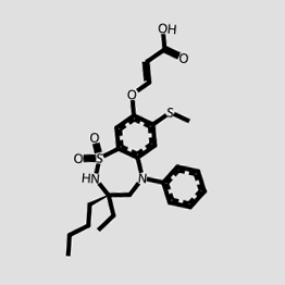 CCCC[C@]1(CC)CN(c2ccccc2)c2cc(SC)c(O/C=C/C(=O)O)cc2S(=O)(=O)N1